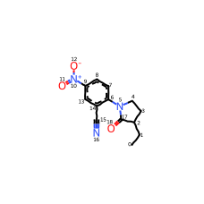 CCC1CCN(c2ccc([N+](=O)[O-])cc2C#N)C1=O